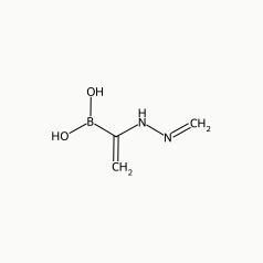 C=NNC(=C)B(O)O